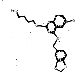 OCCCCOc1nc(NCc2ccc3c(c2)OCO3)c2cc(Cl)ccc2n1